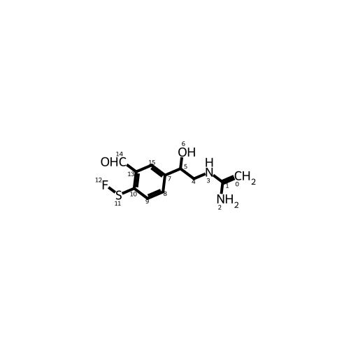 C=C(N)NCC(O)c1ccc(SF)c(C=O)c1